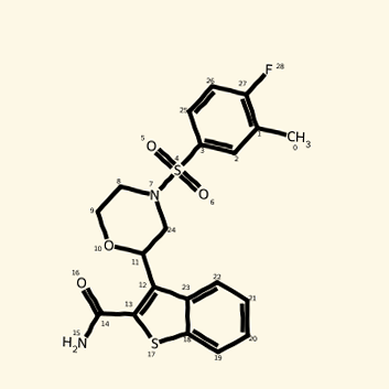 Cc1cc(S(=O)(=O)N2CCOC(c3c(C(N)=O)sc4ccccc34)C2)ccc1F